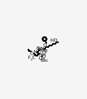 C=CCOc1nc(C(=O)NNC(=O)C(CCCCCC(C)O)OCc2ccccc2)c(NC(=O)OC(C)(C)C)cc1C(F)(F)F